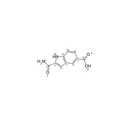 NC(=O)c1cc2cc(C(=O)O)ccc2[nH]1